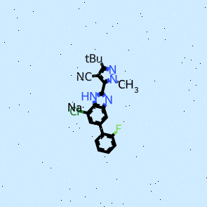 Cn1nc(C(C)(C)C)c(C#N)c1-c1nc2cc(-c3ccccc3F)cc(Cl)c2[nH]1.[Na]